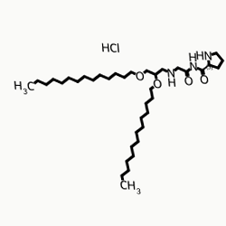 CCCCCCCCCCCCCCOCC(CNCC(=O)NC(=O)[C@@H]1CCCN1)OCCCCCCCCCCCCCC.Cl